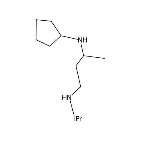 CC(C)NCCC(C)NC1CCCC1